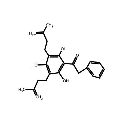 C=C(C)CCc1c(O)c(CCC(=C)C)c(O)c(C(=O)Cc2ccccc2)c1O